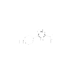 FC(F)c1noc(C2CCNCC2)n1